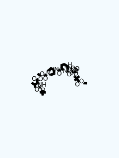 CCOC(=O)C(C)(C)COS(=O)(=O)ON1C(=O)N2C[C@H]1CC[C@H]2C(=O)NC1CCN(C(=O)OC(C)OC(=O)[C@@H](NC(=O)OC(C)(C)C)C(C)C)CC1